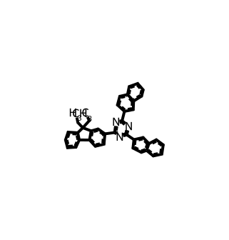 CCC1(CC)c2ccccc2-c2ccc(-c3nc(-c4ccc5ccccc5c4)nc(-c4ccc5ccccc5c4)n3)cc21